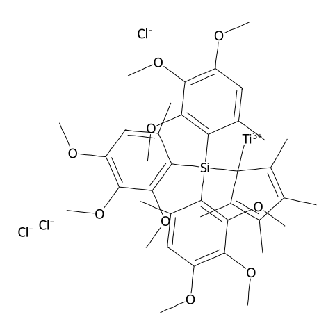 COc1cc(C)c([Si](c2c(C)cc(OC)c(OC)c2OC)(c2c(C)cc(OC)c(OC)c2OC)[C]2([Ti+3])C(C)=C(C)C(C)=C2C)c(OC)c1OC.[Cl-].[Cl-].[Cl-]